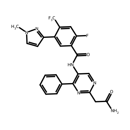 Cn1ccc(-c2cc(C(=O)Nc3cnc(CC(N)=O)nc3-c3ccccc3)c(F)cc2C(F)(F)F)n1